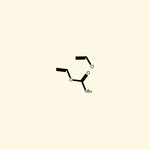 C=CCl.C=COC(=O)CCCC